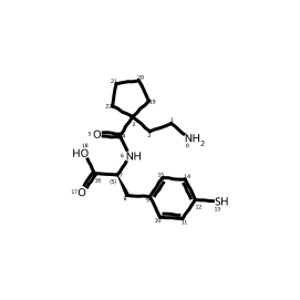 NCCC1(C(=O)N[C@@H](Cc2ccc(S)cc2)C(=O)O)CCCC1